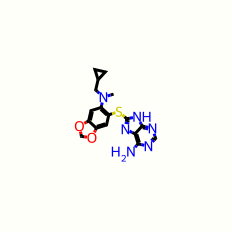 CN(CC1CC1)c1cc2c(cc1Sc1nc3c(N)ncnc3[nH]1)OCO2